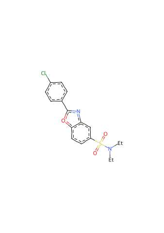 CCN(CC)S(=O)(=O)c1ccc2oc(-c3ccc(Cl)cc3)nc2c1